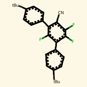 CC(C)(C)c1ccc(-c2c(F)c(F)c(C#N)c(-c3ccc(C(C)(C)C)cc3)c2F)cc1